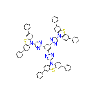 c1ccc(-c2ccc3c(c2)Sc2cc(-c4ccccc4)ccc2N3c2cnc(-c3cc(-c4ncc(N5c6ccc(-c7ccccc7)cc6Sc6cc(-c7ccccc7)ccc65)cn4)cc(-c4ncc(N5c6ccc(-c7ccccc7)cc6Sc6cc(-c7ccccc7)ccc65)cn4)c3)nc2)cc1